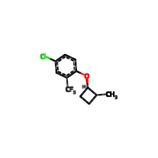 CC1CC[C@H]1Oc1ccc(Cl)cc1C(F)(F)F